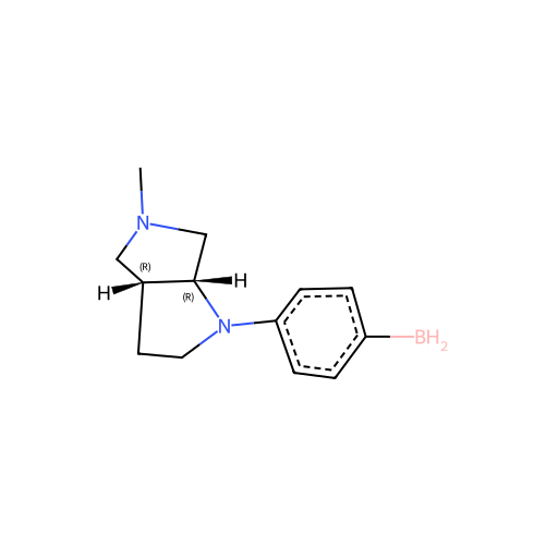 Bc1ccc(N2CC[C@@H]3CN(C)C[C@@H]32)cc1